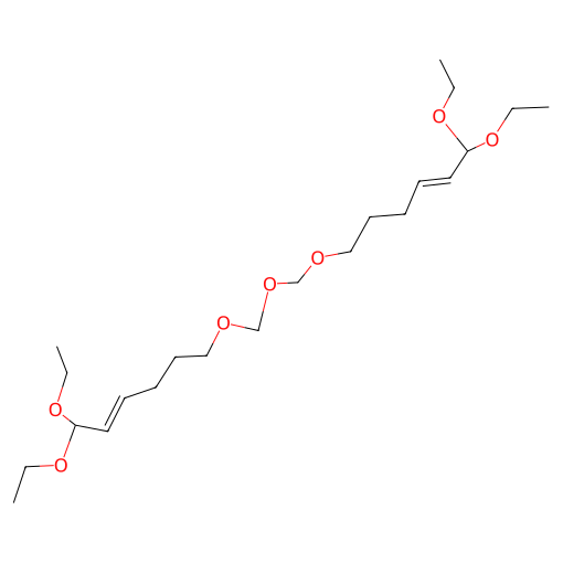 CCOC(C=CCCCOCOCOCCCC=CC(OCC)OCC)OCC